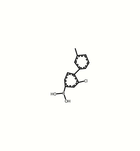 Cc1cccc(-c2ccc(B(O)O)cc2Cl)c1